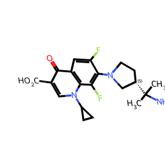 CC(C)(N)[C@H]1CCN(c2c(F)cc3c(=O)c(C(=O)O)cn(C4CC4)c3c2F)C1